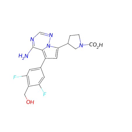 Nc1ncnn2c(C3CCN(C(=O)O)C3)cc(-c3cc(F)c(CO)c(F)c3)c12